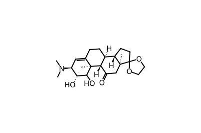 CN(C)[C@H]1C=C2CC[C@H]3[C@@H]4CCC5(OCCO5)[C@@]4(C)CC(=O)[C@@H]3[C@@]2(C)C(O)[C@@H]1O